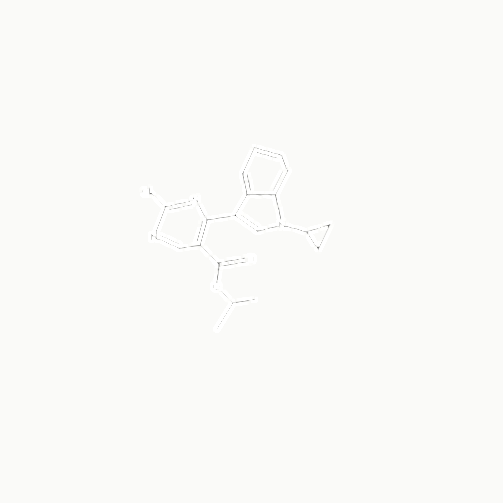 CC(C)OC(=O)c1cnc(Cl)nc1-c1cn(C2CC2)c2ccccc12